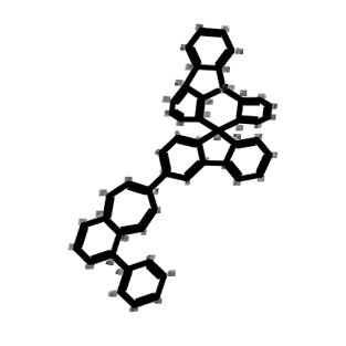 C1=CC(c2ccc3c(c2)-c2ccccc2C32c3ccccc3-n3c4ccccc4c4cccc2c43)=CC=c2cccc(-c3ccccc3)c2=1